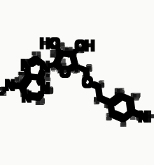 Nc1ccc(CCOC[C@H]2O[C@@H](n3cnc4c(N)ncnc43)[C@H](O)[C@@H]2O)cc1